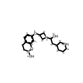 OB1CCc2ccc(OC3CN(C(O)CC4CCCNC4)C3)cc2O1